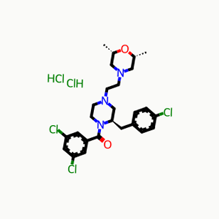 C[C@@H]1CN(CCN2CCN(C(=O)c3cc(Cl)cc(Cl)c3)[C@H](Cc3ccc(Cl)cc3)C2)C[C@H](C)O1.Cl.Cl